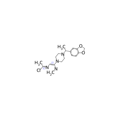 C=N/C(=C\N=C(/C)Cl)N1CCN(C(C)c2ccc3c(c2)OCO3)CC1